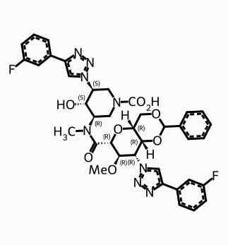 CO[C@@H]1[C@@H](n2cc(-c3cccc(F)c3)nn2)[C@H]2OC(c3ccccc3)OC[C@H]2O[C@H]1C(=O)N(C)[C@@H]1CN(C(=O)O)C[C@H](n2cc(-c3cccc(F)c3)nn2)[C@H]1O